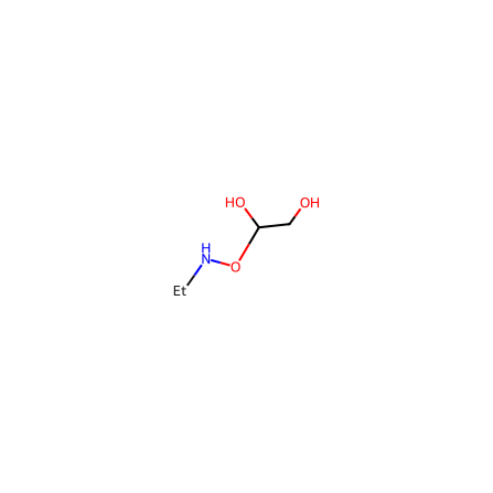 CCNOC(O)CO